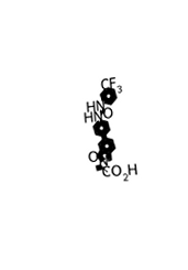 C[C@@H](C(=O)O)N1Cc2ccc(-c3ccc(NC(=O)Nc4cccc(C(F)(F)F)c4)cc3)cc2C1=O